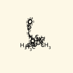 CCN1CCC[C@@H]1N(C)C(=O)c1cc(C#CCCCOCc2ccccc2)cc(OC)c1OC